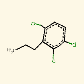 CCCc1c(Cl)ccc(Cl)c1Cl